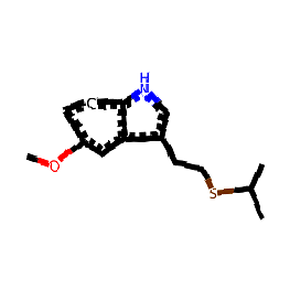 COc1ccc2[nH]cc(CCSC(C)C)c2c1